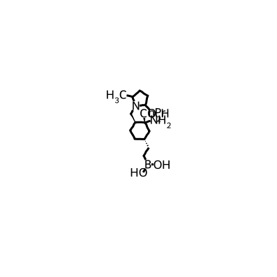 CCCC1CCC(C)N1C[C@@H]1CC[C@@H](CCB(O)O)C[C@]1(N)C(=O)O